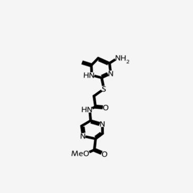 C=C1C=C(N)N=C(SCC(=O)Nc2cnc(C(=O)OC)cn2)N1